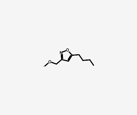 [CH2]OCc1cc(CCCC)on1